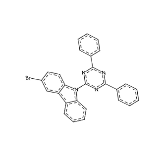 Brc1ccc2c(c1)c1ccccc1n2-c1nc(-c2ccccc2)nc(-c2ccccc2)n1